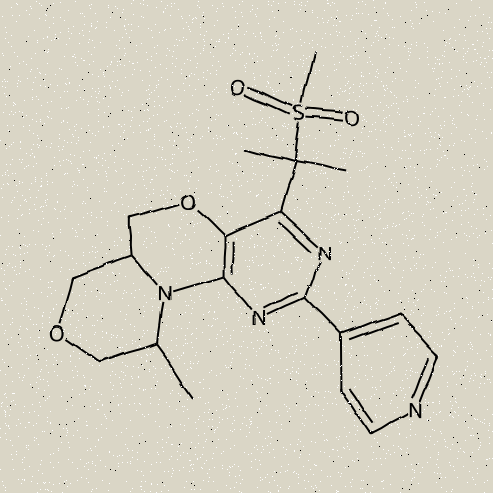 CC1COCC2COc3c(nc(-c4ccncc4)nc3C(C)(C)S(C)(=O)=O)N12